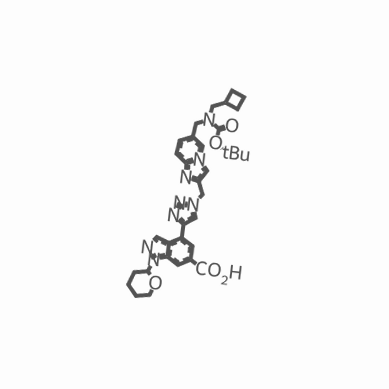 CC(C)(C)OC(=O)N(Cc1ccc2nc(Cn3cc(-c4cc(C(=O)O)cc5c4cnn5C4CCCCO4)nn3)cn2c1)CC1CCC1